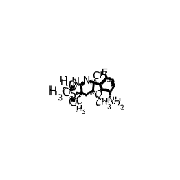 CO[C@@H]1CC(C)(S(C)(=O)=O)C(N)=N[C@]1(C)c1cc(N)ccc1F